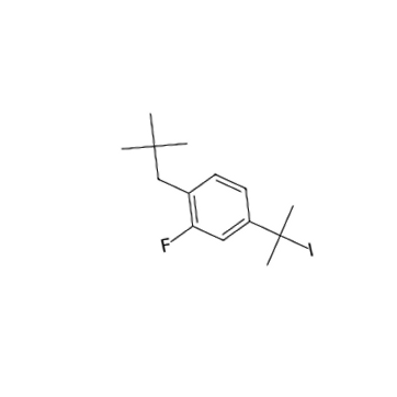 CC(C)(C)Cc1ccc(C(C)(C)I)cc1F